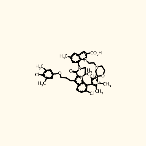 Cc1cc(N2C[C@@H](C)n3c(c(CCCOc4cc(C)c(Cl)c(C)c4)c4ccc(Cl)c(-c5c(C)nn(C)c5C)c43)C2=O)c2c(c1)cc(C(=O)O)n2CCN1CCOCC1